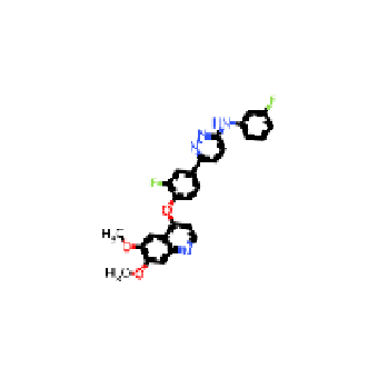 COc1cc2nccc(Oc3ccc(-c4ccc(Nc5cccc(F)c5)nn4)cc3F)c2cc1OC